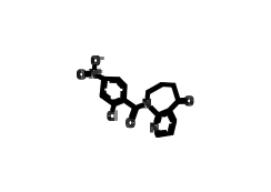 O=C1CCCN(C(=O)c2ccc([N+](=O)[O-])cc2Cl)c2ncccc21